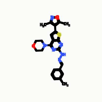 Cc1cccc(/C=N/Nc2nc(N3CCOCC3)c3cc(-c4c(C)noc4C)sc3n2)c1